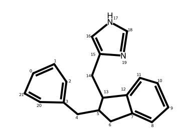 c1ccc(CC2Cc3ccccc3C2Cc2c[nH]cn2)cc1